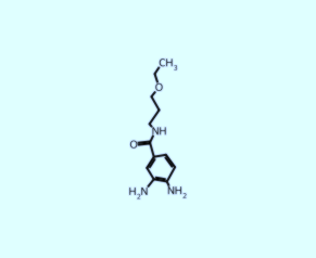 CCOCCCNC(=O)c1ccc(N)c(N)c1